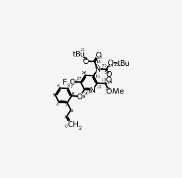 C=CCc1ccccc1Oc1nc(C(=O)OC)c(N(C(=O)OC(C)(C)C)C(=O)OC(C)(C)C)cc1C(F)(F)F